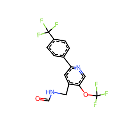 O=CNCc1cc(-c2ccc(C(F)(F)F)cc2)ncc1OC(F)(F)F